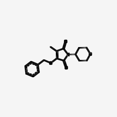 CC1=C(OCc2ccccc2)C(=O)N(C2CCOCC2)C1=O